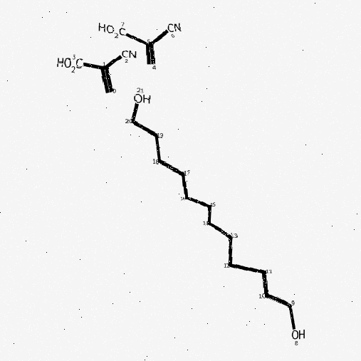 C=C(C#N)C(=O)O.C=C(C#N)C(=O)O.OCCCCCCCCCCCCO